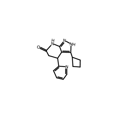 O=C1CC(c2ccccn2)c2c(n[nH]c2C2CCC2)N1